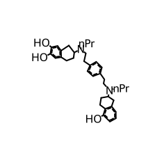 CCCN(CCc1ccc(CCN(CCC)C2CCc3c(O)cccc3C2)cc1)C1CCc2cc(O)c(O)cc2C1